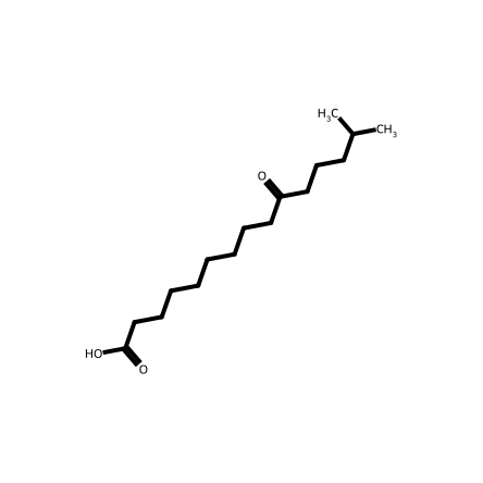 CC(C)CCCC(=O)CCCCCCCCC(=O)O